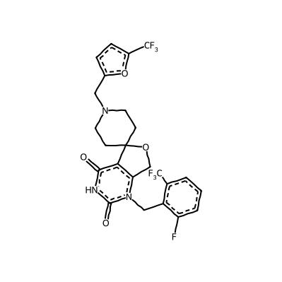 O=c1[nH]c(=O)n(Cc2c(F)cccc2C(F)(F)F)c2c1C1(CCN(Cc3ccc(C(F)(F)F)o3)CC1)OC2